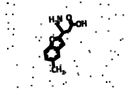 Cc1ccc2oc(C(CN)CC(=O)O)cc2c1